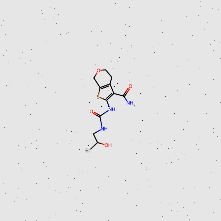 CCC(O)CNC(=O)Nc1sc2c(c1C(N)=O)CCOC2